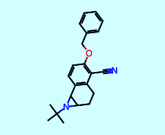 CC(C)(C)N1C2CCc3c(ccc(OCc4ccccc4)c3C#N)C21